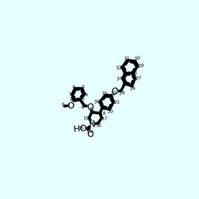 COc1ccccc1COC1CN(C(=O)O)CCC1c1ccc(OCc2ccc3ccccc3c2)cc1